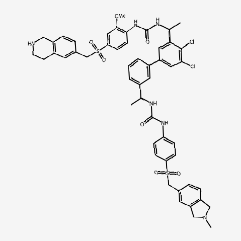 COc1cc(S(=O)(=O)Cc2ccc3c(c2)CCNC3)ccc1NC(=O)NC(C)c1cc(-c2cccc(C(C)NC(=O)Nc3ccc(S(=O)(=O)Cc4ccc5c(c4)CN(C)C5)cc3)c2)cc(Cl)c1Cl